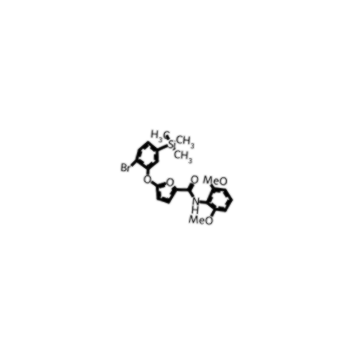 COc1cccc(OC)c1NC(=O)c1ccc(Oc2cc([Si](C)(C)C)ccc2Br)o1